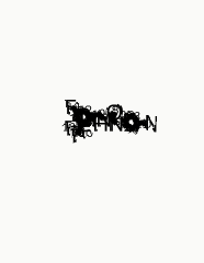 N#Cc1ccc(NC(=O)NCc2cc(F)cc(C(F)(F)F)c2)cc1